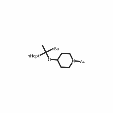 CCCCCCCC(C)(CCCC)OC1CCN(C(C)=O)CC1